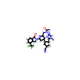 CC(=O)NCc1cc(-c2cc(C#N)ccc2-c2nncn2C)cc(N2Cc3c(cccc3C(F)(F)F)C2=O)n1